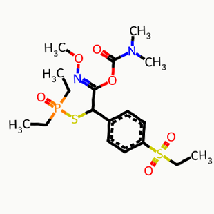 CCP(=O)(CC)SC(C(=NOC)OC(=O)N(C)C)c1ccc(S(=O)(=O)CC)cc1